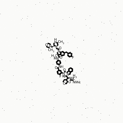 CNC(C)C(=O)NC(C(=O)N1Cc2ccccc2[C@H]1C(=O)Nc1cc(C(=O)Nc2ccc(NC(=O)C3(C)CN(C(=O)CN4C[C@@H](C)NC[C@@H]4CN4CCOC[C@H]4C)c4cc(Cc5ccc(F)cc5)ccc43)cc2)ccc1F)C1CCOCC1